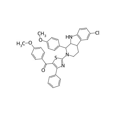 COc1ccc(C(=O)c2sc(N3CCC4c5cc(Cl)ccc5NC4C3c3ccc(OC)cc3)nc2-c2ccccc2)cc1